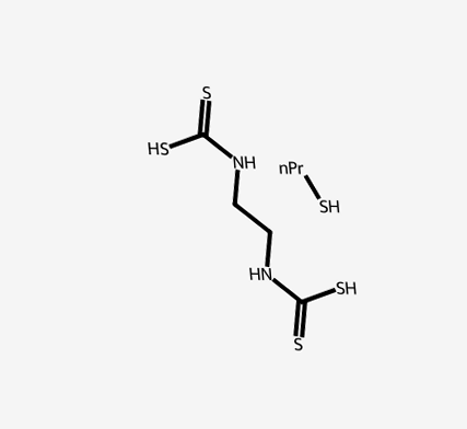 CCCS.S=C(S)NCCNC(=S)S